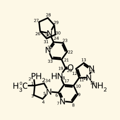 CC1(P)CCN(c2nccc(-c3ccnn3N)c2NC(=O)c2ccc(N3C4CCC3CC4)nc2)C1